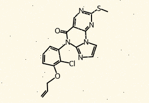 C=CCOc1cccc(-n2c(=O)c3cnc(SC)nc3n3ccnc23)c1Cl